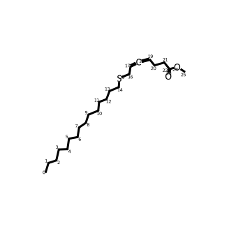 CCCCCCCCCCCCCCCSCC=C=CCCC(=O)OC